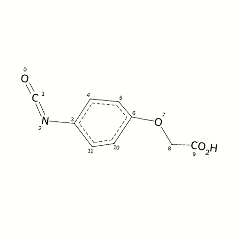 O=C=Nc1ccc(OCC(=O)O)cc1